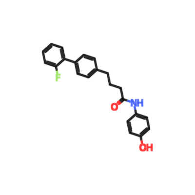 O=C(CCCc1ccc(-c2ccccc2F)cc1)Nc1ccc(O)cc1